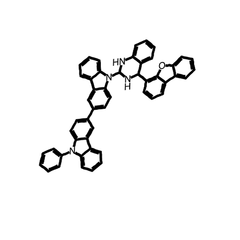 c1ccc(-n2c3ccccc3c3cc(-c4ccc5c(c4)c4ccccc4n5C4Nc5ccccc5C(c5cccc6c5oc5ccccc56)N4)ccc32)cc1